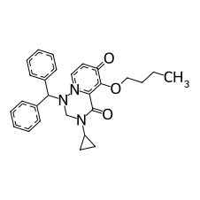 CCCCOc1c2n(ccc1=O)N(C(c1ccccc1)c1ccccc1)CN(C1CC1)C2=O